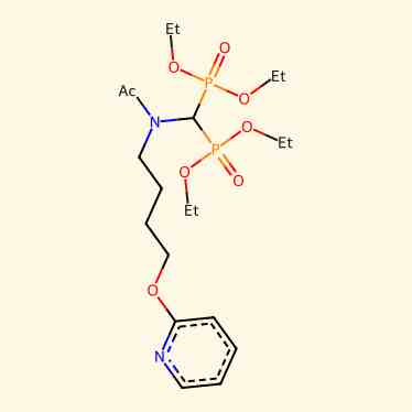 CCOP(=O)(OCC)C(N(CCCCOc1ccccn1)C(C)=O)P(=O)(OCC)OCC